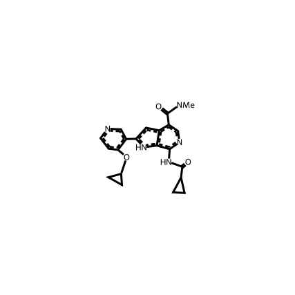 CNC(=O)c1cnc(NC(=O)C2CC2)c2[nH]c(-c3cnccc3OC3CC3)cc12